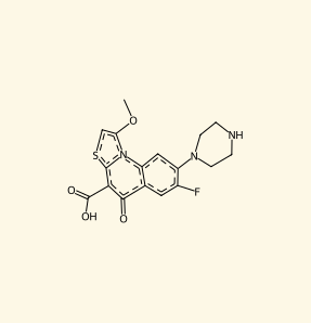 COc1csc2c(C(=O)O)c(=O)c3cc(F)c(N4CCNCC4)cc3n12